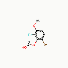 CCOc1ccc(Br)c(OBO)c1F